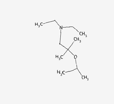 CCN(CC)CC(C)(C)OC(C)C